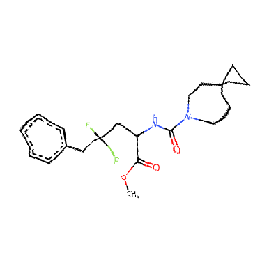 COC(=O)C(CC(F)(F)Cc1ccccc1)NC(=O)N1CCC2(CC1)CC2